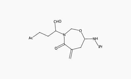 C=C1CC(NC(C)C)OCN(C(C=O)CCC(C)=O)C1=O